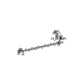 CCCN(OCCNC(=O)OCCOCCOCCOCCOCCOCCOCCOCCOCCOCCOCCNC(=O)CN1C(=O)C=CC1=O)C(=O)C1=Cc2ccc(C(N)=O)cc2N=C(N)C1